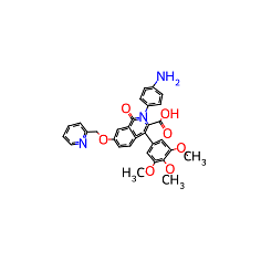 COc1cc(-c2c(C(=O)O)n(-c3ccc(N)cc3)c(=O)c3cc(OCc4ccccn4)ccc23)cc(OC)c1OC